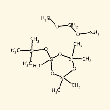 C[Si](C)(C)O[Si]1(C)O[Si](C)(C)O[Si](C)(C)O1.[SiH3]O[SiH2]O[SiH3]